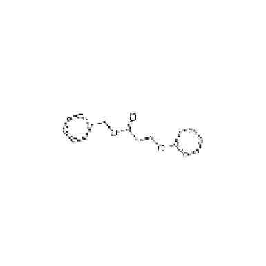 O=C(CCOc1ccccc1)OCc1ccccc1